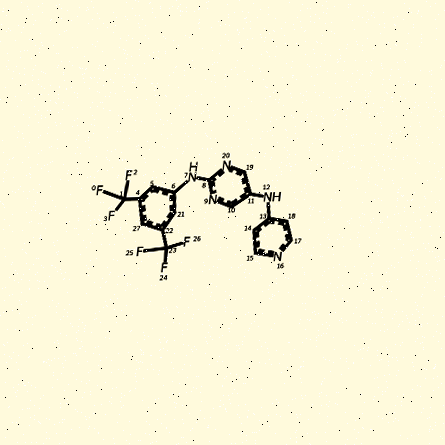 FC(F)(F)c1cc(Nc2ncc(Nc3ccncc3)cn2)cc(C(F)(F)F)c1